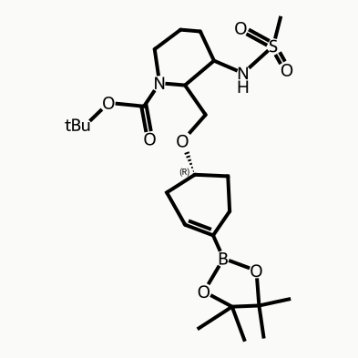 CC(C)(C)OC(=O)N1CCCC(NS(C)(=O)=O)C1CO[C@H]1CC=C(B2OC(C)(C)C(C)(C)O2)CC1